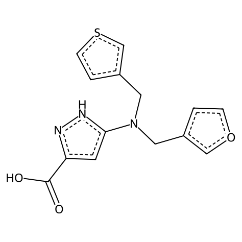 O=C(O)c1cc(N(Cc2ccoc2)Cc2ccsc2)[nH]n1